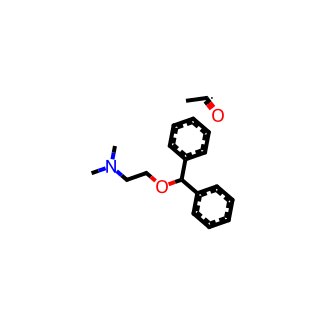 CN(C)CCOC(c1ccccc1)c1ccccc1.C[C]=O